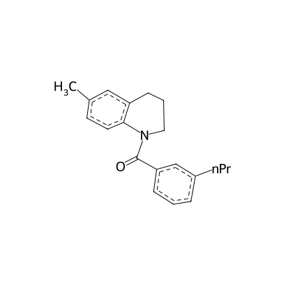 CCCc1cccc(C(=O)N2CCCc3cc(C)ccc32)c1